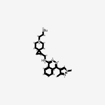 Cc1nn(C)cc1-c1nnc(NCC2CC23CCN(CCC(C)(C)C)CC3)c2ccccc12